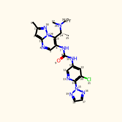 Cc1cc2ncc(NC(=O)Nc3cnc(-n4nccn4)c(Cl)c3)c([C@@H](C)N(C)C(C)C)n2n1